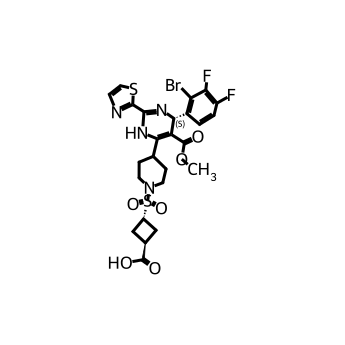 COC(=O)C1=C(C2CCN(S(=O)(=O)[C@H]3C[C@H](C(=O)O)C3)CC2)NC(c2nccs2)=N[C@@H]1c1ccc(F)c(F)c1Br